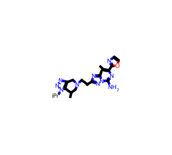 Cc1c(-c2ncco2)nc(N)n2nc(CCN3Cc4nnn(C(C)C)c4C(C)C3)nc12